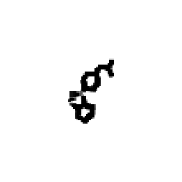 CC(C)CC1C=CC(n2nnc3ccccc32)=CC1